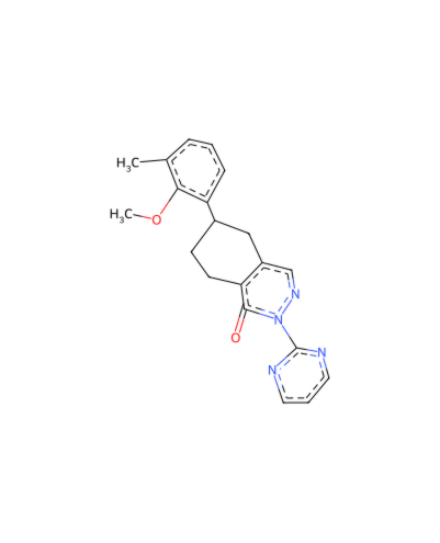 COc1c(C)cccc1C1CCc2c(cnn(-c3ncccn3)c2=O)C1